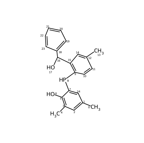 Cc1cc(C)c(O)c(Pc2ccc(C)cc2C(O)c2ccccc2)c1